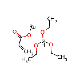 C=CC(=O)[O][Ru].CCO[SiH](OCC)OCC